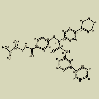 O=C(NC[C@@H](O)C(=O)O)c1ccc(CN(C(=O)Nc2cccc(-c3ccccc3)c2)c2ccc(C3=CCCCC3)cc2)cc1